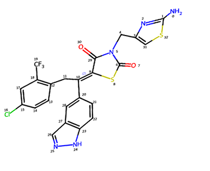 Nc1nc(CN2C(=O)S/C(=C(/Cc3ccc(Cl)cc3C(F)(F)F)c3ccc4[nH]ncc4c3)C2=O)cs1